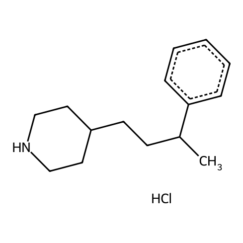 CC(CCC1CCNCC1)c1ccccc1.Cl